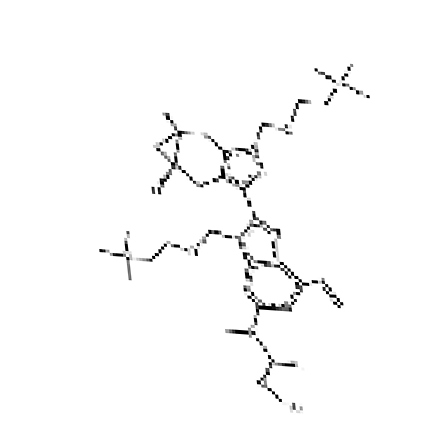 C=Cc1cc(N(C)C(=O)OC(C)(C)C)cc2c1nc(-c1nn(COCC[Si](C)(C)C)c3c1C[C@@H]1C[C@]1(C)C3)n2COCC[Si](C)(C)C